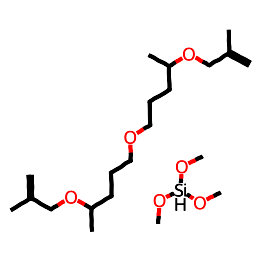 C=C(C)COC(C)CCCOCCCC(C)OCC(=C)C.CO[SiH](OC)OC